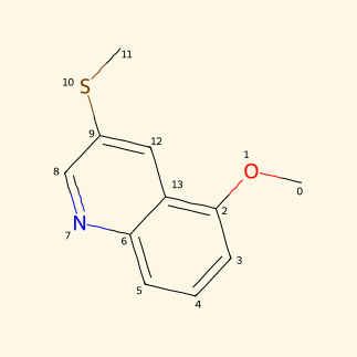 COc1cccc2ncc(SC)cc12